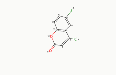 O=c1cc(Cl)c2cc(F)ccc2o1